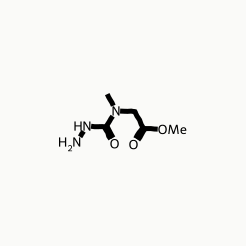 COC(=O)CN(C)C(=O)NN